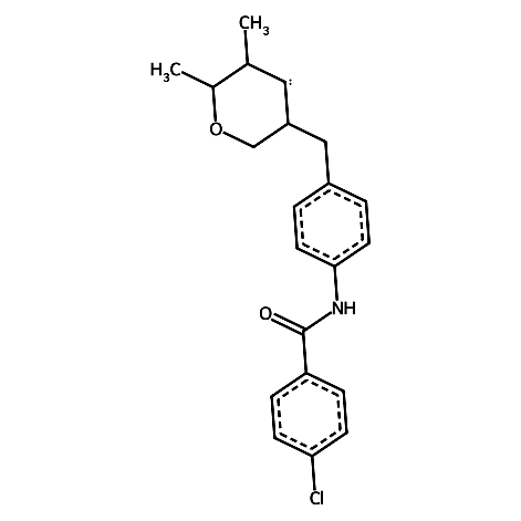 CC1[C]C(Cc2ccc(NC(=O)c3ccc(Cl)cc3)cc2)COC1C